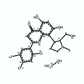 CN1CCC(c2c(O)cc(O)c3c(=O)cc(-c4cc(F)c(Cl)cc4Cl)oc23)C1CO.O=S(=O)(O)O